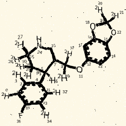 [2H]c1c([2H])c([C@@]2([2H])C(C([2H])([2H])Oc3ccc4c(c3)OC([2H])([2H])O4)CNC([2H])([2H])C2([2H])[2H])c([2H])c([2H])c1F